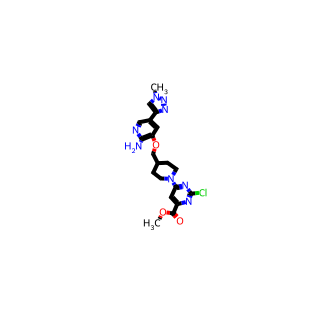 COC(=O)c1cc(N2CCC(COc3cc(-c4cn(C)nn4)cnc3N)CC2)nc(Cl)n1